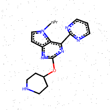 CCCn1ccc2nc(OC3CCNCC3)nc(-c3ncccn3)c21